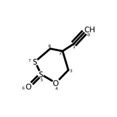 C#CC1COS(=O)SC1